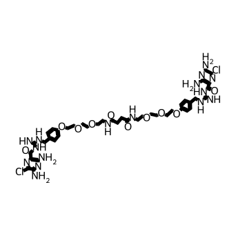 N=C(NCc1ccc(OCCOCCOCCNC(=O)CCC(=O)NCCOCCOCCOc2ccc(CNC(=N)NC(=O)c3nc(Cl)c(N)nc3N)cc2)cc1)NC(=O)c1nc(Cl)c(N)nc1N